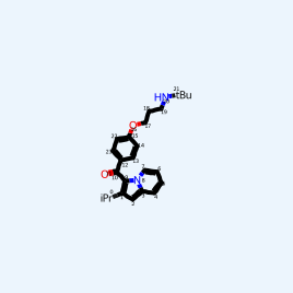 CC(C)c1cc2ccccn2c1C(=O)c1ccc(OCCCNC(C)(C)C)cc1